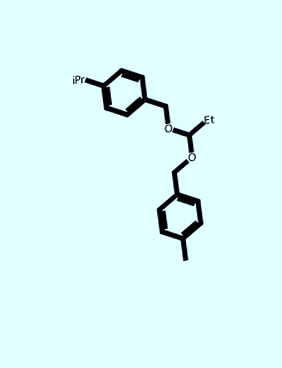 CCC(OCc1ccc(C)cc1)OCc1ccc(C(C)C)cc1